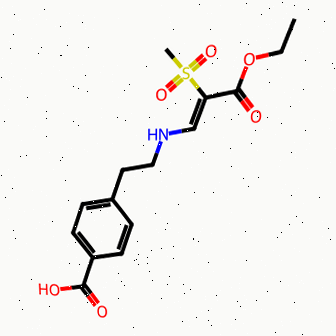 CCOC(=O)C(=CNCCc1ccc(C(=O)O)cc1)S(C)(=O)=O